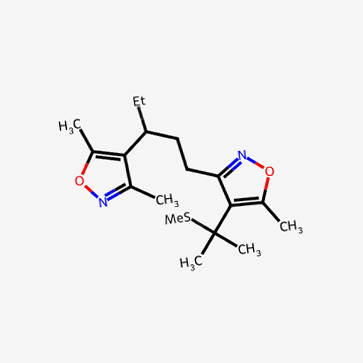 CCC(CCc1noc(C)c1C(C)(C)SC)c1c(C)noc1C